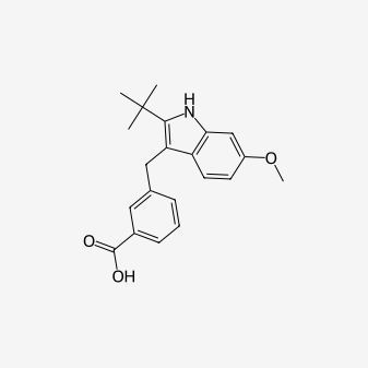 COc1ccc2c(Cc3cccc(C(=O)O)c3)c(C(C)(C)C)[nH]c2c1